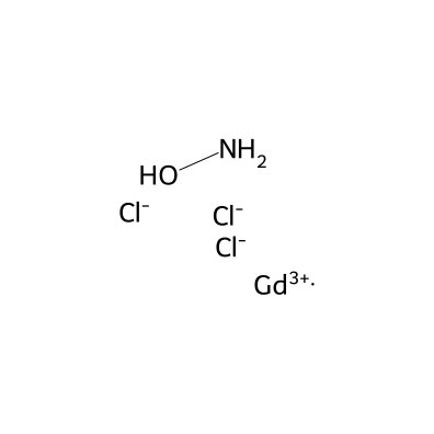 NO.[Cl-].[Cl-].[Cl-].[Gd+3]